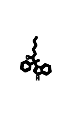 CCCCCC(=O)C(C)(c1ccccc1)c1c[nH]c2ccccc12